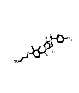 Cc1c(OCCCC#N)ccc([C@H](C)N2C[C@@H]3C[C@H]2CN3C(=O)c2ccc(C(F)(F)F)cc2)c1C